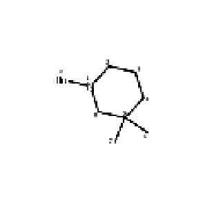 CCC(C)N1CCCC(C)(C)C1